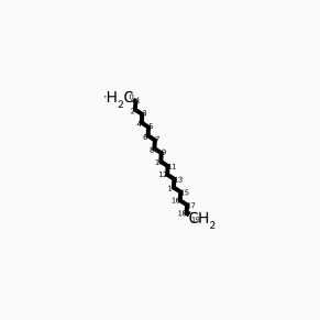 [CH2]CCCCCCCCCCCCCCCCCC=C